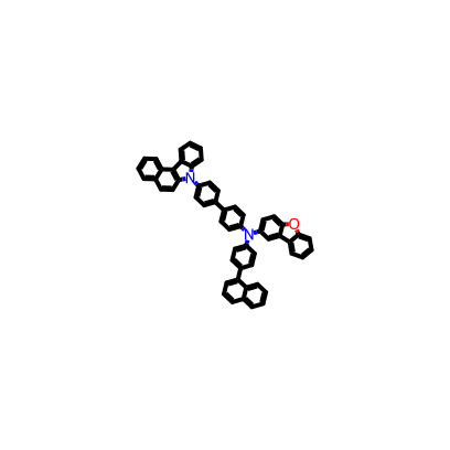 c1ccc2c(-c3ccc(N(c4ccc(-c5ccc(-n6c7ccccc7c7c8ccccc8ccc76)cc5)cc4)c4ccc5oc6ccccc6c5c4)cc3)cccc2c1